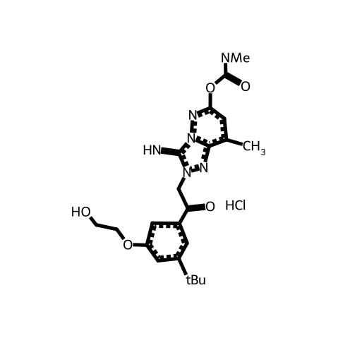 CNC(=O)Oc1cc(C)c2nn(CC(=O)c3cc(OCCO)cc(C(C)(C)C)c3)c(=N)n2n1.Cl